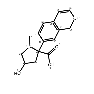 CN1CC(O)CC1(C(=O)O)c1ccc2c(c1)COC=C2